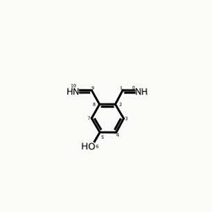 N=Cc1ccc(O)cc1C=N